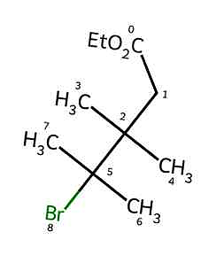 CCOC(=O)CC(C)(C)C(C)(C)Br